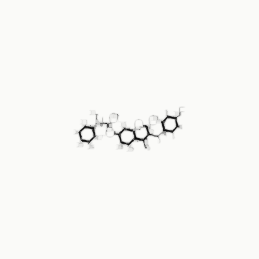 Cc1c(Cc2ccc(F)cc2)c(=O)oc2cc(OC(=O)N(C)c3ccccc3)ccc12